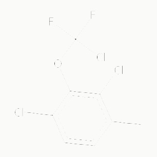 Cc1ccc(Cl)c(OC(F)(F)Cl)c1Cl